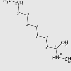 CNCCCCCCCC(O)NC